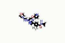 Cc1cc(-c2cnn3c(NCCN4CCOCC4)cc(Oc4cccnc4)nc23)ccc1C(=O)NC1CC1